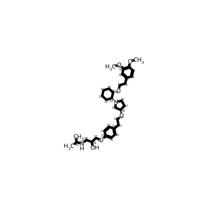 COc1ccc(CCO[C@H]2CCCC[C@H]2N2CC[C@@H](OCCc3ccc(OCC(O)CNC(C)C)cc3)C2)cc1OC